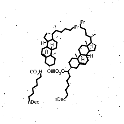 CC(C)CCC[C@@H](C)[C@H]1CC[C@H]2[C@@H]3CC=C4C[C@@H](O)CC[C@]4(C)[C@H]3CC[C@]12C.CCCCCCCCCCCCCCCC(C(=O)O)[C@H]1CC[C@@]2(C)C(=CC[C@H]3[C@@H]4CC[C@H]([C@H](C)CCCC(C)C)[C@@]4(C)CC[C@@H]32)C1.CCCCCCCCCCCCCCCCC(=O)O